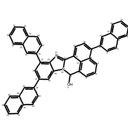 OC1c2cccc3c(-c4ccc5ccccc5c4)ccc(c23)-c2nc3c(-c4ccc5ccccc5c4)cc(-c4ccc5ccccc5c4)cc3n21